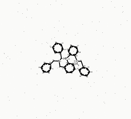 Cc1cccc(CN(Cc2ccccc2)Cc2ccccc2)c1Pc1ccccc1OCc1ccccc1